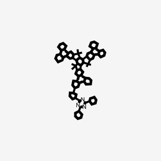 CC1(C)c2cc3c4ccccc4c4ccccc4c3cc2-c2c1c1c(c3c2C(C)(C)c2cc4c5ccc(-c6cccc(-c7nc(-c8ccccc8)nc(-c8ccccc8)n7)c6)cc5c5ccccc5c4cc2-3)C(C)(C)c2cc3c4ccccc4c4ccccc4c3cc2-1